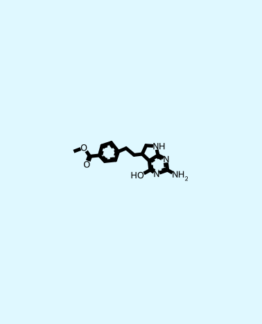 COC(=O)c1ccc(CCC2CNc3nc(N)nc(O)c32)cc1